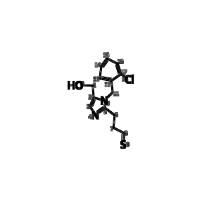 OCc1cnc(CCC=S)n1Cc1ccccc1Cl